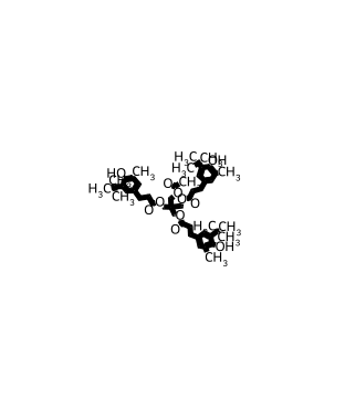 CC(=O)OCC(COC(=O)CCc1cc(C)c(O)c(C(C)(C)C)c1)(COC(=O)CCc1cc(C)c(O)c(C(C)(C)C)c1)COC(=O)CCc1cc(C)c(O)c(C(C)(C)C)c1